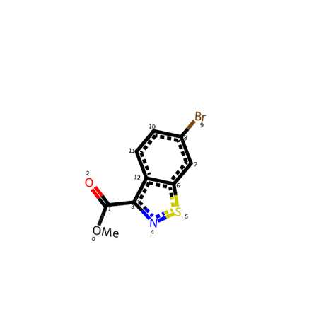 COC(=O)c1nsc2cc(Br)ccc12